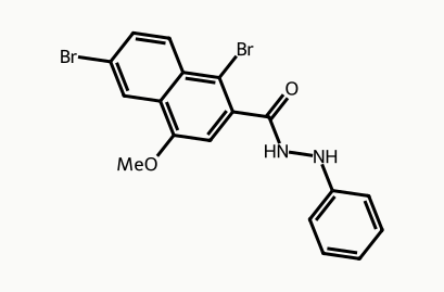 COc1cc(C(=O)NNc2ccccc2)c(Br)c2ccc(Br)cc12